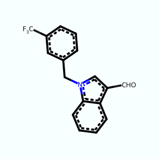 O=Cc1cn(Cc2cccc(C(F)(F)F)c2)c2ccccc12